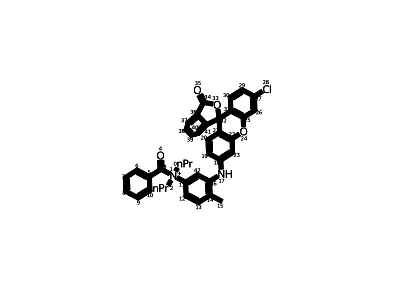 CCC[N+](CCC)(C(=O)c1ccccc1)c1ccc(C)c(Nc2ccc3c(c2)Oc2cc(Cl)ccc2C32OC(=O)c3ccccc32)c1